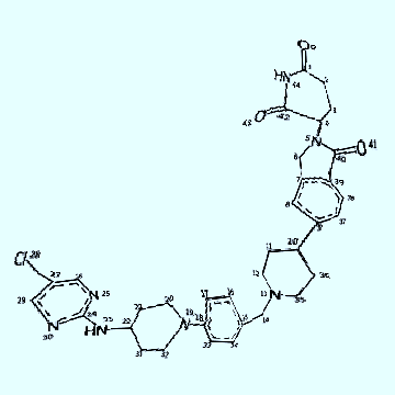 O=C1CCC(N2Cc3cc(C4CCN(Cc5ccc(N6CCC(Nc7ncc(Cl)cn7)CC6)cc5)CC4)ccc3C2=O)C(=O)N1